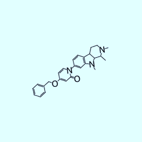 CC1C2C(CCN1C)c1ccc(-n3ccc(OCc4ccccc4)cc3=O)cc1N2C